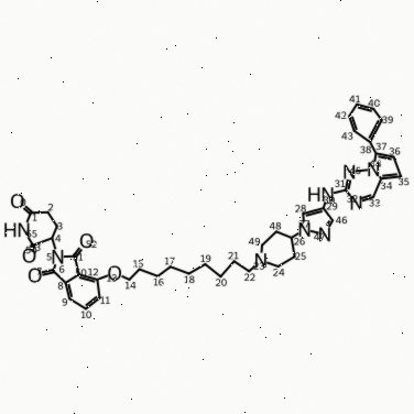 O=C1CCC(N2C(=O)c3cccc(OCCCCCCCCCN4CCC(n5cc(Nc6ncc7ccc(-c8ccccc8)n7n6)cn5)CC4)c3C2=O)C(=O)N1